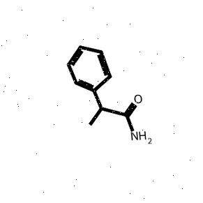 CC(C(N)=O)c1ccccc1